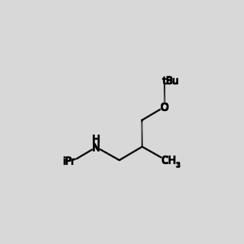 CC(CNC(C)C)COC(C)(C)C